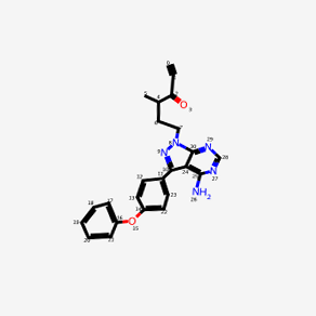 C#CC(=O)C(C)CCn1nc(-c2ccc(Oc3ccccc3)cc2)c2c(N)ncnc21